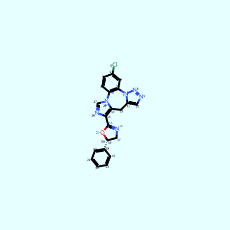 Clc1ccc2c(c1)-n1nncc1Cc1c(C3=NC[C@H](c4ccccc4)O3)ncn1-2